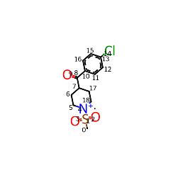 CS(=O)(=O)[N+]1CCC(C(=O)c2ccc(Cl)cc2)CC1